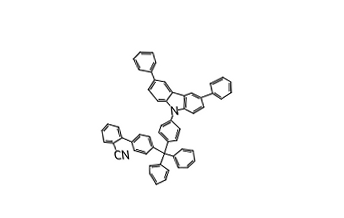 N#Cc1ccccc1-c1ccc(C(c2ccccc2)(c2ccccc2)c2ccc(-n3c4ccc(-c5ccccc5)cc4c4cc(-c5ccccc5)ccc43)cc2)cc1